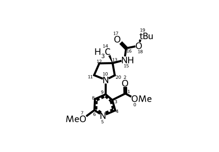 COC(=O)c1cnc(OC)cc1N1CC[C@](C)(NC(=O)OC(C)(C)C)C1